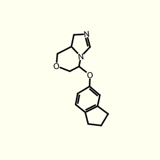 C1=NCC2COCC(Oc3ccc4c(c3)CCC4)N12